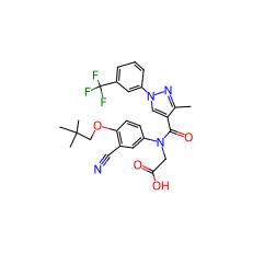 Cc1nn(-c2cccc(C(F)(F)F)c2)cc1C(=O)N(CC(=O)O)c1ccc(OCC(C)(C)C)c(C#N)c1